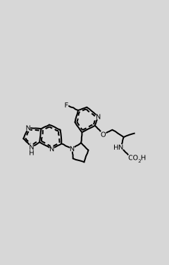 CC(COc1ncc(F)cc1C1CCCN1c1ccc2nc[nH]c2n1)NC(=O)O